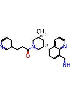 C[C@@H]1C[C@H](c2ccc(C=N)c3ncccc23)CN(C(=O)CCc2cccnc2)C1